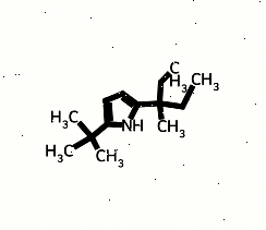 CCC(C)(CC)c1ccc(C(C)(C)C)[nH]1